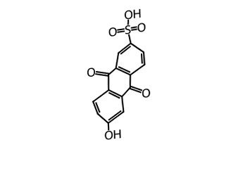 O=C1c2ccc(S(=O)(=O)O)cc2C(=O)c2ccc(O)cc21